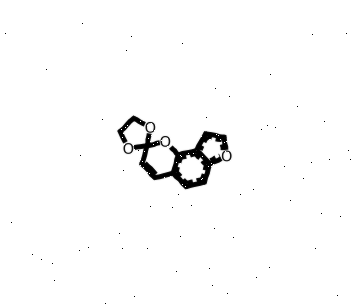 C1=CC2(OCCO2)Oc2c1ccc1occc21